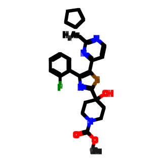 C1CCCC1.CC(C)(C)OC(=O)N1CCC(O)(c2nc(-c3ccccc3F)c(-c3ccnc([AsH2])n3)s2)CC1